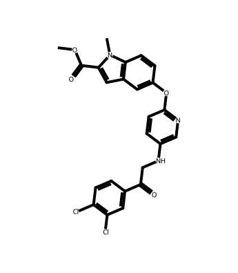 COC(=O)c1cc2cc(Oc3ccc(NCC(=O)c4ccc(Cl)c(Cl)c4)cn3)ccc2n1C